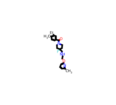 CCc1cc(C(=O)N2CCC(F)(CNCCOc3cccc(C)n3)CC2)ccc1C